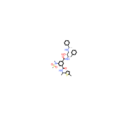 Cc1ccc(C(C)NC(=O)c2cc(C(=O)N[C@@H](Cc3ccccc3)[C@H](O)CN[C@@H](C)c3ccccc3)cc(N(C)S(C)(=O)=O)c2)s1